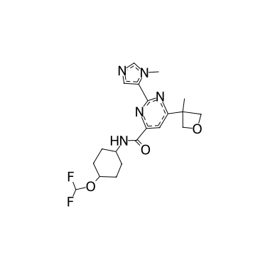 Cn1cncc1-c1nc(C(=O)NC2CCC(OC(F)F)CC2)cc(C2(C)COC2)n1